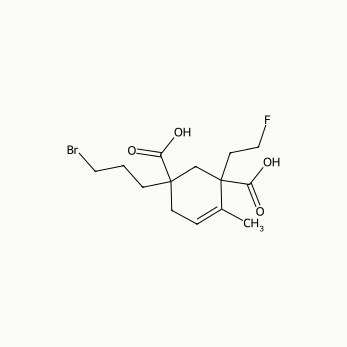 CC1=CCC(CCCBr)(C(=O)O)CC1(CCF)C(=O)O